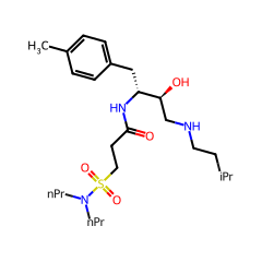 CCCN(CCC)S(=O)(=O)CCC(=O)N[C@H](Cc1ccc(C)cc1)[C@@H](O)CNCCC(C)C